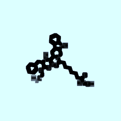 CCOC(=O)C(Cc1ccccc1)NC(=O)C1Cc2c([nH]c3ccccc23)CN1C(=O)CCCCCCC(=O)NO